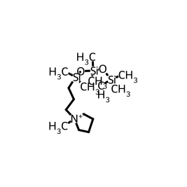 C[N+]1(CCC[Si](C)(C)O[Si](C)(C)O[Si](C)(C)C)CCCC1